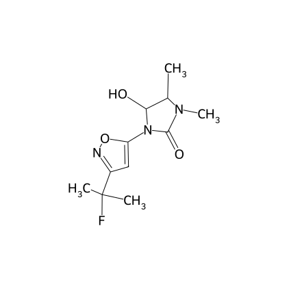 CC1C(O)N(c2cc(C(C)(C)F)no2)C(=O)N1C